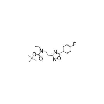 CCN(CCc1noc(-c2ccc(F)cc2)n1)C(=O)OC(C)(C)C